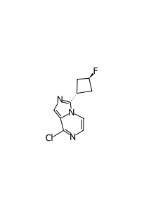 F[C@H]1C[C@H](c2ncc3c(Cl)nccn32)C1